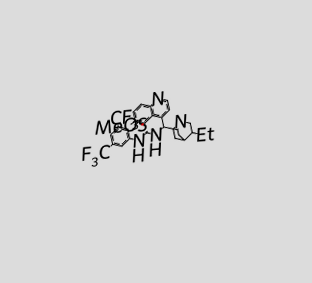 CCC1CN2CCC1CC2C(NC(=S)Nc1cc(C(F)(F)F)cc(C(F)(F)F)c1)c1ccnc2ccc(OC)cc12